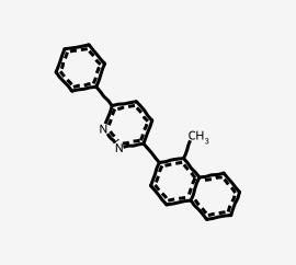 Cc1c(-c2ccc(-c3ccccc3)nn2)ccc2ccccc12